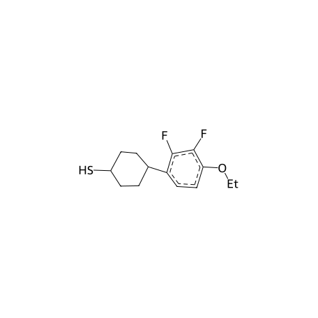 CCOc1ccc(C2CCC(S)CC2)c(F)c1F